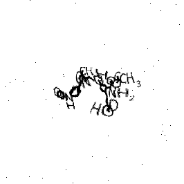 Cc1oc(-c2ccc(NN3CCOCC3)cc2)nc1CCOc1ccc(CCC(=O)O)c(C(N)C(=O)OC(C)C)c1